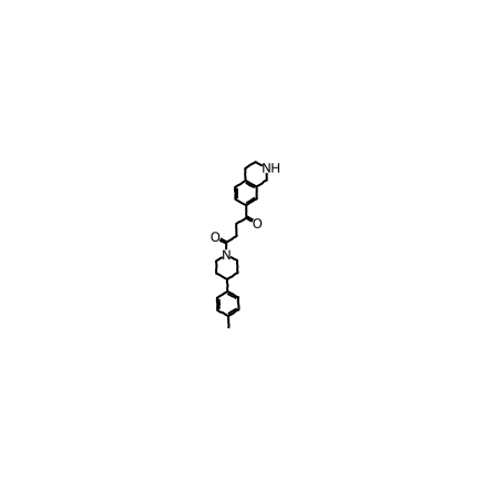 Cc1ccc(C2CCN(C(=O)CCC(=O)c3ccc4c(c3)CNCC4)CC2)cc1